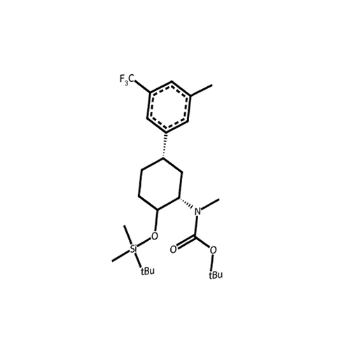 Cc1cc([C@H]2CCC(O[Si](C)(C)C(C)(C)C)[C@@H](N(C)C(=O)OC(C)(C)C)C2)cc(C(F)(F)F)c1